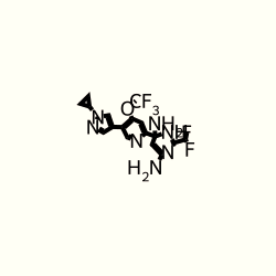 NC1=CC(N)(c2cc(OC(F)(F)F)c(-c3cnn(C4CC4)c3)cn2)NC(C(F)F)=N1